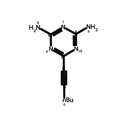 CCCCC#Cc1nc(N)nc(N)n1